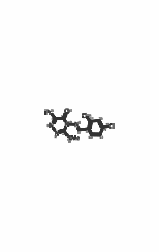 CSc1nnc(C(C)C)c(=O)n1N=Cc1ccc(Cl)cc1Cl